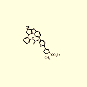 CCOC(=O)[C@H]1C=C(c2ncc(-c3ccc4nc5c(n4c3)[C@@H](c3ccccc3OC(F)F)C[C@H]5O)cn2)C[C@H]1C